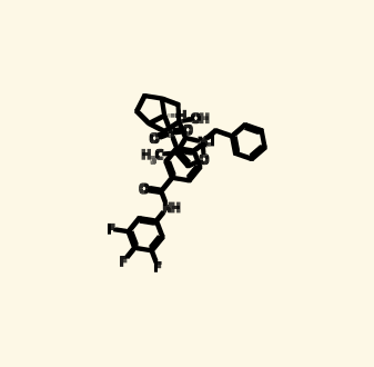 CC1=CON(Cc2ccccc2)C1[C@]1(O)CC2CCC(C1)[C@H]2S(=O)(=O)c1cc(C(=O)Nc2cc(F)c(F)c(F)c2)ccc1Cl